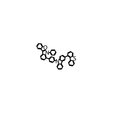 c1ccc(-n2c3oc4ccccc4c3c3cccc(-c4ccc(-n5c6ccccc6c6cc(-c7cccc8sc9ccccc9c78)ccc65)cc4)c32)cc1